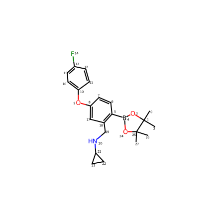 CC1(C)OB(c2ccc(Oc3ccc(F)cc3)cc2CNC2CC2)OC1(C)C